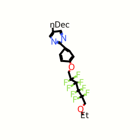 CCCCCCCCCCc1cnc(-c2ccc(OCC(F)(F)C(F)(F)C(F)(F)C(F)(F)COCC)cc2)nc1